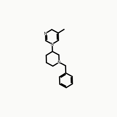 CC1=CN(C2CCCN(Cc3ccccc3)C2)C=NC1